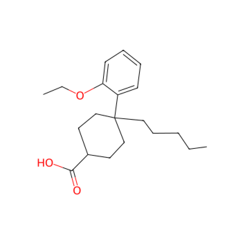 CCCCCC1(c2ccccc2OCC)CCC(C(=O)O)CC1